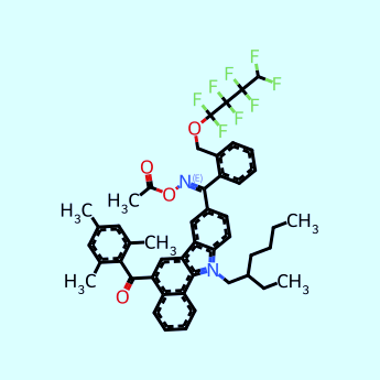 CCCCC(CC)Cn1c2ccc(/C(=N\OC(C)=O)c3ccccc3COC(F)(F)C(F)(F)C(F)(F)C(F)F)cc2c2cc(C(=O)c3c(C)cc(C)cc3C)c3ccccc3c21